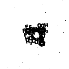 C[C@H]1NC(=O)C(Cc2ccccc2)NC(=O)[C@H](C)[C@H](O)[C@H](Cc2c(F)c(F)c(F)c(F)c2F)NC(=O)[C@H]1NC(=O)c1ncccc1O